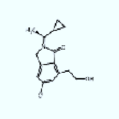 C[C@@H](C1CC1)N1Cc2cc(Cl)cc(CCO)c2C1=O